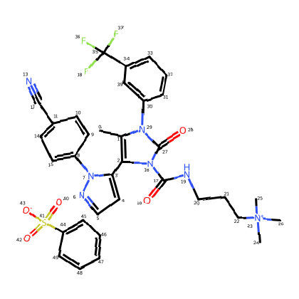 Cc1c(-c2ccnn2-c2ccc(C#N)cc2)n(C(=O)NCCC[N+](C)(C)C)c(=O)n1-c1cccc(C(F)(F)F)c1.O=S(=O)([O-])c1ccccc1